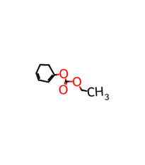 CCOC(=O)OC1=CC=CCC1